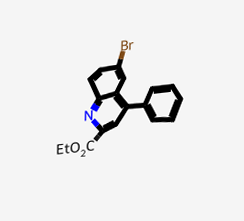 CCOC(=O)c1cc(-c2ccccc2)c2cc(Br)ccc2n1